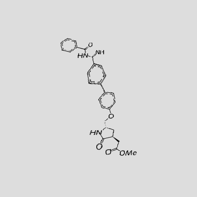 COC(=O)C[C@@H]1C[C@@H](COc2ccc(-c3ccc(C(=N)NC(=O)c4ccccc4)cc3)cc2)NC1=O